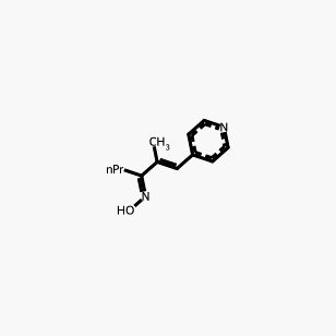 CCCC(=NO)/C(C)=C/c1ccncc1